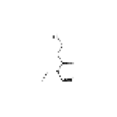 CCN(C=O)C(C)CCCl